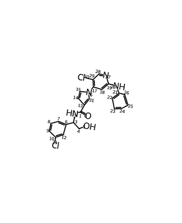 O=C(NC(CO)c1cccc(Cl)c1)c1ccn(-c2cc(Nc3ccccc3)ncc2Cl)c1